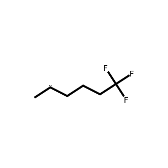 C[C]CCCC(F)(F)F